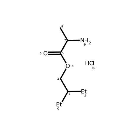 CCC(CC)COC(=O)C(C)N.Cl